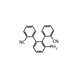 N#Cc1ccccc1-c1cccc(P)c1-c1ccccc1C#N